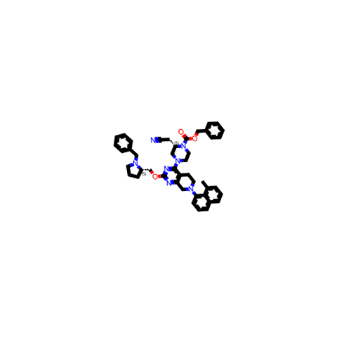 Cc1cccc2cccc(N3CCc4c(nc(OC[C@@H]5CCCN5Cc5ccccc5)nc4N4CCN(C(=O)OCc5ccccc5)[C@@H](CC#N)C4)C3)c12